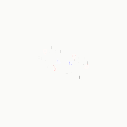 CCC(=O)C1C(C)(C)CN(CCN2CC(C)(C)C(C(=O)CC)C(C)(C)C2=O)C(=O)C1(C)C